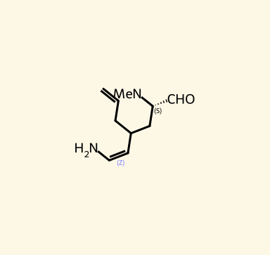 C=CCC(/C=C\N)C[C@@H](C=O)NC